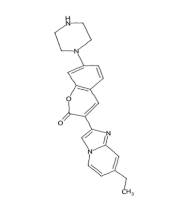 CCc1ccn2cc(-c3cc4ccc(N5CCNCC5)cc4oc3=O)nc2c1